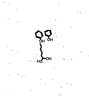 CCCCCC(O)O.Oc1ccccc1.Oc1ccccc1